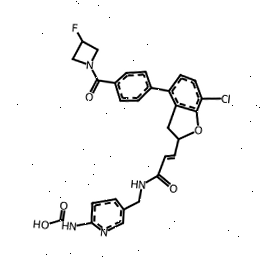 O=C(O)Nc1ccc(CNC(=O)C=CC2Cc3c(-c4ccc(C(=O)N5CC(F)C5)cc4)ccc(Cl)c3O2)cn1